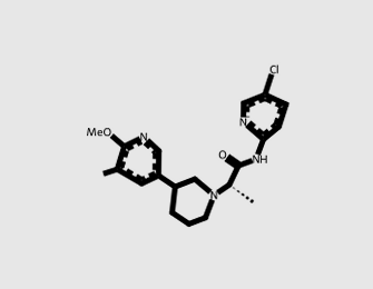 COc1ncc(C2CCCN([C@@H](C)C(=O)Nc3ccc(Cl)cn3)C2)cc1C